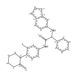 Cc1cc(NC(=O)C(Nc2ccc3ncsc3c2)c2ccccc2)ccc1N1CCCCC1=O